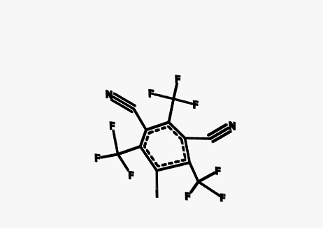 N#Cc1c(C(F)(F)F)c(I)c(C(F)(F)F)c(C#N)c1C(F)(F)F